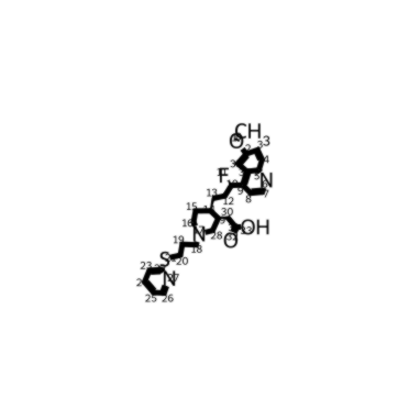 COc1ccc2nccc([C@@H](F)CC[C@@H]3CCN(CCCSc4ccccn4)C[C@@H]3CC(=O)O)c2c1